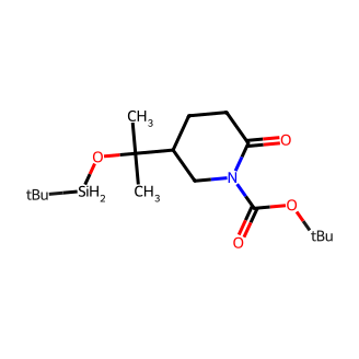 CC(C)(C)OC(=O)N1CC(C(C)(C)O[SiH2]C(C)(C)C)CCC1=O